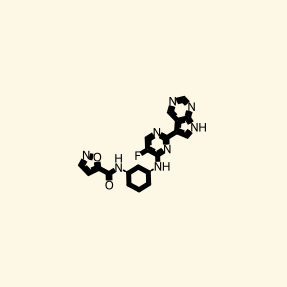 O=C(N[C@H]1CCC[C@@H](Nc2nc(-c3c[nH]c4ncncc34)ncc2F)C1)c1ccno1